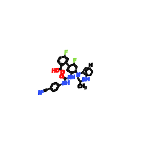 CC1CN(c2cc(F)c(-c3cc(F)ccc3C(=O)O)cc2NC(=O)Nc2ccc(C#N)cc2)C2C[C@H]3CC[C@@]2(C3)N1